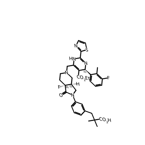 CCOC(=O)C1=C(CN2CC[C@]3(F)C(=O)N(c4cccc(CC(C)(C)C(=O)O)c4)C[C@@H]3C2)NC(c2nccs2)=N[C@H]1c1cccc(F)c1C